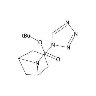 CC(C)(C)OC(=O)N1C2CC1CC(n1cnnn1)C2